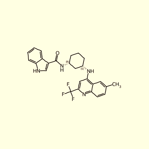 Cc1ccc2nc(C(F)(F)F)cc(N[C@H]3CCC[C@@H](NC(=O)c4c[nH]c5ccccc45)C3)c2c1